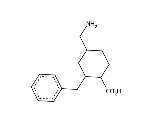 NCC1CCC(C(=O)O)C(Cc2ccccc2)C1